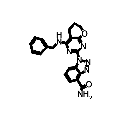 NC(=O)c1cccc2c1nnn2-c1nc(NCc2ccccc2)c2c(n1)OCCC2